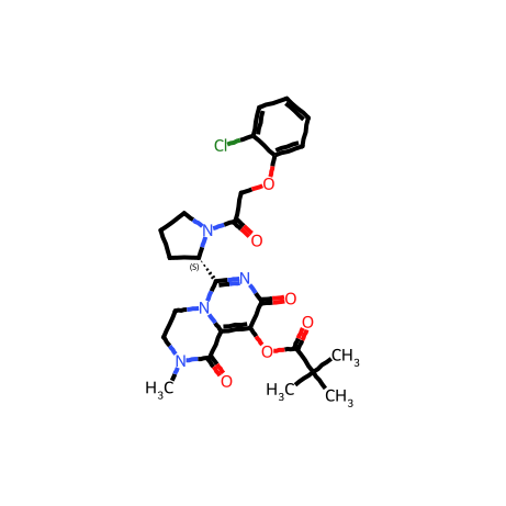 CN1CCn2c([C@@H]3CCCN3C(=O)COc3ccccc3Cl)nc(=O)c(OC(=O)C(C)(C)C)c2C1=O